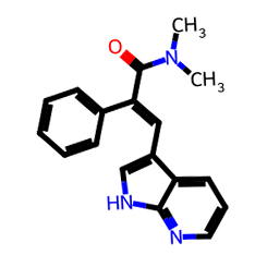 CN(C)C(=O)/C(=C/c1c[nH]c2ncccc12)c1ccccc1